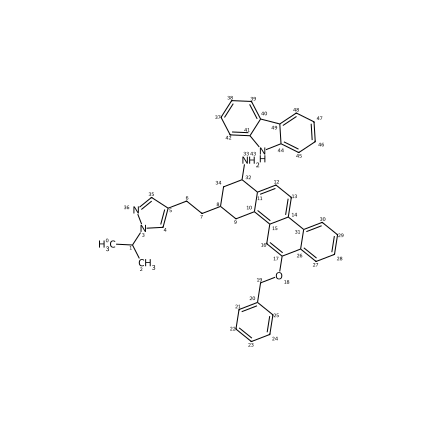 CC(C)n1cc(CCC2Cc3c(ccc4c3cc(OCc3ccccc3)c3ccccc34)C(N)C2)cn1.c1ccc2c(c1)[nH]c1ccccc12